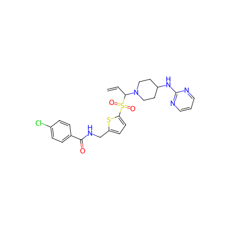 C=CC(N1CCC(Nc2ncccn2)CC1)S(=O)(=O)c1ccc(CNC(=O)c2ccc(Cl)cc2)s1